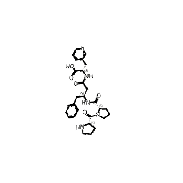 O=C(C[C@H](Cc1ccccc1)NC(=O)[C@@H]1CCCN1C(=O)[C@@H]1CCCN1)N[C@@H](Cc1cccnc1)C(=O)O